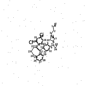 FCCCN1CC(C2(c3ccc(C4=C(c5ccc(Cl)cc5Cl)CCCc5ccccc54)cc3)CC2)C1